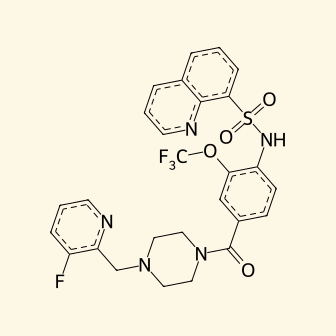 O=C(c1ccc(NS(=O)(=O)c2cccc3cccnc23)c(OC(F)(F)F)c1)N1CCN(Cc2ncccc2F)CC1